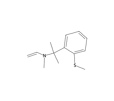 C=CN(C)C(C)(C)c1ccccc1SC